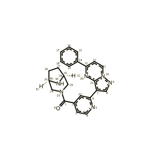 O=C(c1ccnc(-c2cnn3ccc(-c4ccccc4)nc23)c1)N1C[C@H]2CC[C@@H](C1)N2